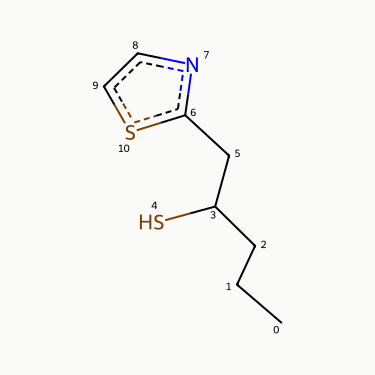 CCCC(S)Cc1nccs1